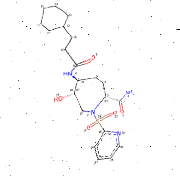 NC(=O)[C@H]1CC[C@H](NC(=O)[CH]CC2CCCCC2)[C@@H](O)CN1S(=O)(=O)c1ccccn1